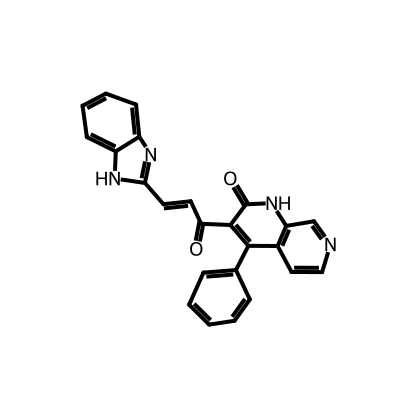 O=C(C=Cc1nc2ccccc2[nH]1)c1c(-c2ccccc2)c2ccncc2[nH]c1=O